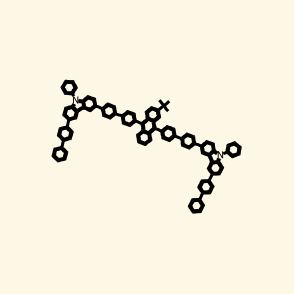 CC(C)(C)c1ccc2c(-c3ccc(-c4ccc(-c5ccc6c(c5)c5cc(-c7ccc(-c8ccccc8)cc7)ccc5n6-c5ccccc5)cc4)cc3)c3ccccc3c(-c3ccc(-c4ccc(-c5ccc6c(c5)c5cc(-c7ccc(-c8ccccc8)cc7)ccc5n6-c5ccccc5)cc4)cc3)c2c1